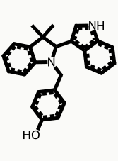 CC1(C)c2ccccc2N(Cc2ccc(O)cc2)C1c1c[nH]c2ccccc12